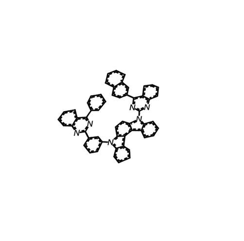 c1ccc(-c2nc(-c3cccc(-n4c5ccccc5c5c6c7ccccc7n(-c7nc(-c8ccc9ccccc9c8)c8ccccc8n7)c6ccc54)c3)nc3ccccc23)cc1